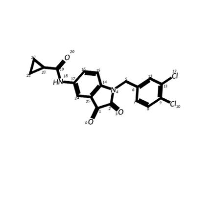 O=C1C(=O)N(Cc2ccc(Cl)c(Cl)c2)c2ccc(NC(=O)C3CC3)cc21